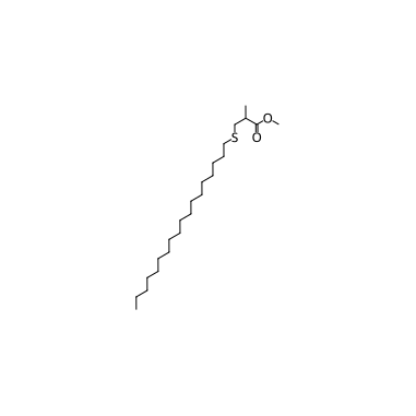 CCCCCCCCCCCCCCCCCCSCC(C)C(=O)OC